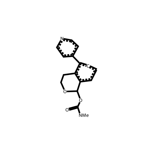 CNC(=O)OC1OCCc2c(-c3ccncc3)cccc21